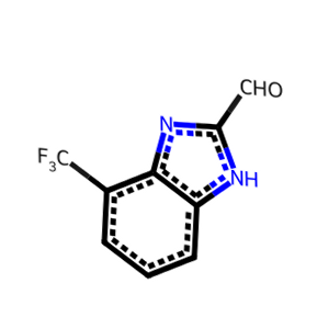 O=Cc1nc2c(C(F)(F)F)cccc2[nH]1